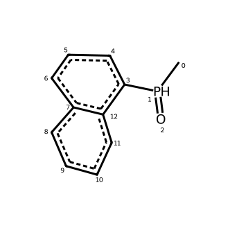 C[PH](=O)c1cccc2ccccc12